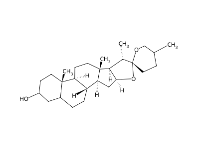 CC1CC[C@@]2(OC1)O[C@H]1C[C@H]3[C@@H]4CCC5CC(O)CC[C@]5(C)[C@H]4CC[C@]3(C)[C@H]1[C@@H]2C